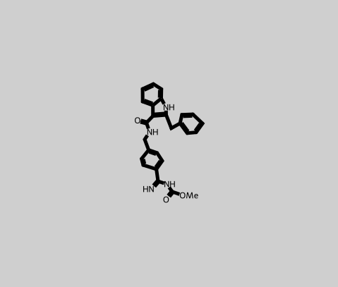 COC(=O)NC(=N)c1ccc(CNC(=O)c2c(Cc3ccccc3)[nH]c3ccccc23)cc1